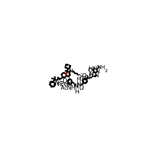 CCCCC[N+]1=C(/C=C/C2=C(Oc3ccc(C[C@@H](NNC(=O)c4ccc(NCc5cnc6nc(N)[nH]c(=O)c6n5)cc4)NC(C)=O)cc3)C(=C/C=C3/N(CCCCS(=O)(=O)O)c4ccccc4C3(C)C)/CCC2)C(C)(C)c2ccccc21